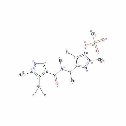 CCc1c(C(CC)N(CC)C(=O)c2cnn(C)c2C2CC2)nn(C)c1OS(=O)(=O)C(F)(F)F